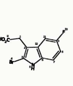 O=C(O)Cc1c(Br)[nH]c2ccc(F)cc12